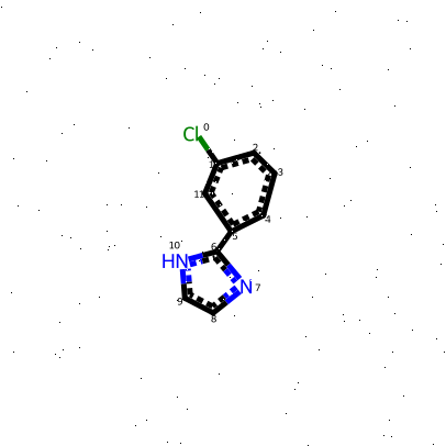 Clc1[c]ccc(-c2ncc[nH]2)c1